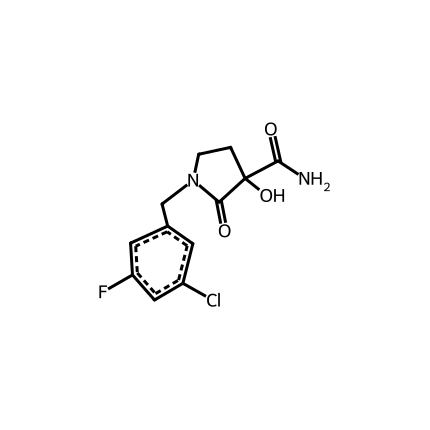 NC(=O)C1(O)CCN(Cc2cc(F)cc(Cl)c2)C1=O